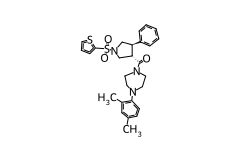 Cc1ccc(N2CCN(C(=O)[C@@H]3CN(S(=O)(=O)c4cccs4)C[C@H]3c3ccccc3)CC2)c(C)c1